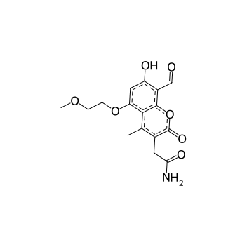 COCCOc1cc(O)c(C=O)c2oc(=O)c(CC(N)=O)c(C)c12